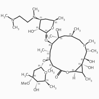 CO[C@]1(C)C[C@H](O[C@H]2[C@H](C)[C@@H](O[C@@H]3O[C@H](C)C[C@H](N(C)CCN(C)C)[C@H]3O)[C@@](C)(O)C[C@@H](C)CN(C)[C@H](C)[C@@H](O)[C@@]3(O)C(C)[C@H]3OC(=O)[C@@H]2C)O[C@@H](C)[C@@H]1O